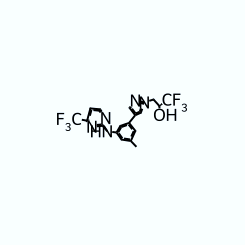 Cc1cc(Nc2nccc(C(F)(F)F)n2)cc(-c2cnn(C[C@H](O)C(F)(F)F)c2)c1